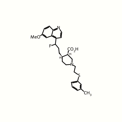 COc1ccc2nccc(C(F)CC[C@@H]3CCN(CCSc4cccc(C)c4)C[C@@H]3C(=O)O)c2c1